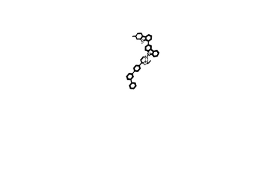 CC=C=C(/C=C\Nn1c2ccccc2c2cc(-c3cccc4c5c(sc34)CC(C)C=C5)ccc21)c1ccc(-c2cccc(-c3ccccc3)c2)cc1